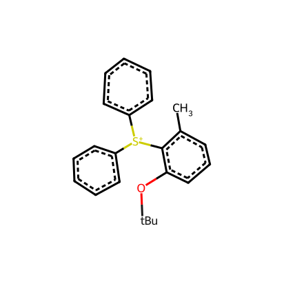 Cc1cccc(OC(C)(C)C)c1[S+](c1ccccc1)c1ccccc1